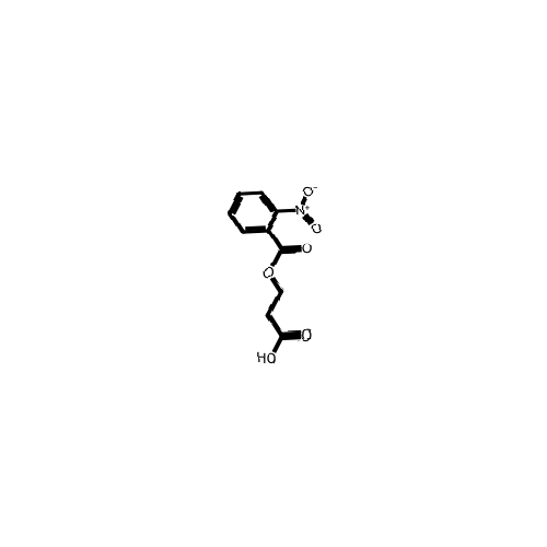 O=C(O)CCOC(=O)c1ccccc1[N+](=O)[O-]